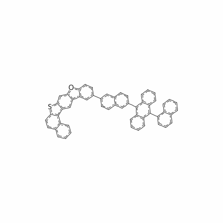 c1ccc2c(-c3c4ccccc4c(-c4ccc5cc(-c6ccc7oc8cc9sc%10ccc%11ccccc%11c%10c9cc8c7c6)ccc5c4)c4ccccc34)cccc2c1